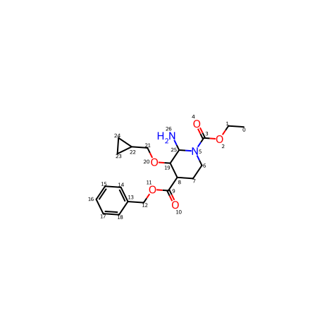 CCOC(=O)N1CCC(C(=O)OCc2ccccc2)C(OCC2CC2)C1N